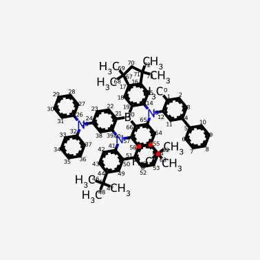 Cc1ccc(-c2ccccc2)cc1N1c2cc3c(cc2B2c4ccc(N(c5ccccc5)c5ccccc5)cc4N(c4ccc(C(C)(C)C)cc4-c4ccccc4)c4cc(C(C)(C)C)cc1c42)C(C)(C)CC3(C)C